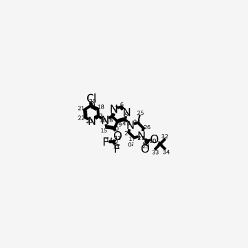 C[C@@H]1CN(c2ncnc3c2c(OC(F)F)cn3-c2cc(Cl)ccn2)[C@@H](C)CN1C(=O)OC(C)(C)C